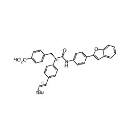 CC(C)(C)/C=C/c1ccc([C@@H](Cc2ccc(C(=O)O)cc2)C(=O)Nc2ccc(-c3cc4ccccc4o3)cc2)cc1